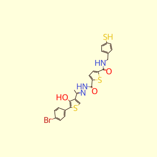 C/C(=N\NC(=O)c1ccc(C(=O)NCc2ccc(S)cc2)s1)c1csc(-c2ccc(Br)cc2)c1O